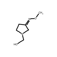 CON=C1CCN(CO)C1